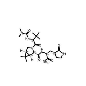 CN(C)C(=O)N[C@H](C(=O)N1C[C@H]2[C@@H]([C@H]1C(=O)N[C@@H](C[C@@H]1CCNC1=O)C(N)=O)C2(C)C)C(C)(C)C